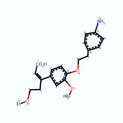 CCCCOc1cc(/C(=C\C(=O)O)CCOCC)ccc1OCCc1ccc(N)cc1